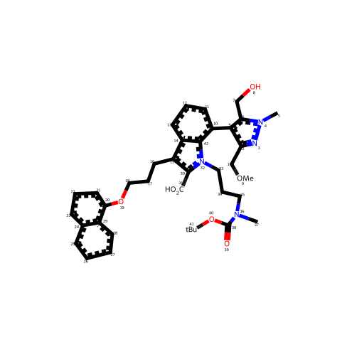 COCc1nn(C)c(CO)c1-c1cccc2c(CCCOc3cccc4ccccc34)c(C(=O)O)n(CCCN(C)C(=O)OC(C)(C)C)c12